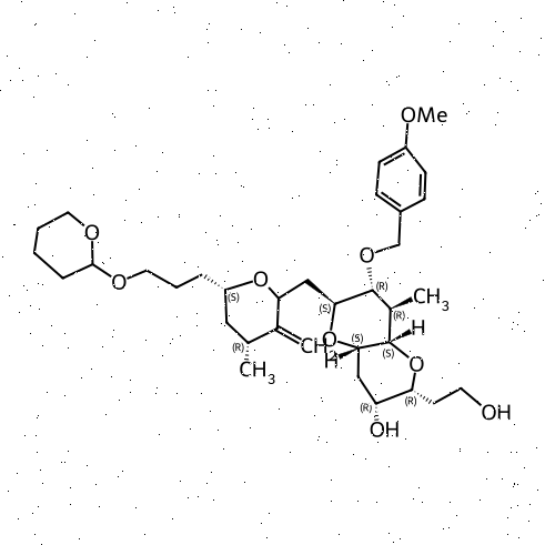 C=C1C(C[C@@H]2O[C@H]3C[C@@H](O)[C@@H](CCO)O[C@H]3[C@H](C)[C@H]2OCc2ccc(OC)cc2)O[C@@H](CCCOC2CCCCO2)C[C@H]1C